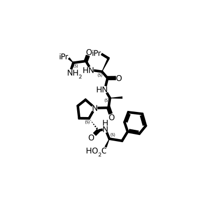 CC(C)C[C@H](NC(=O)[C@@H](N)C(C)C)C(=O)N[C@@H](C)C(=O)N1CCC[C@H]1C(=O)N[C@@H](Cc1ccccc1)C(=O)O